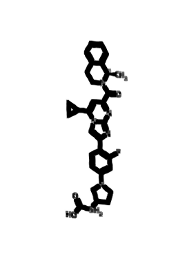 C[C@@H]1c2ccccc2CCN1C(=O)c1cc(C2CC2)n2cc(-c3ccc(N4CCC([SiH2]C(=O)O)C4)cc3F)nc2n1